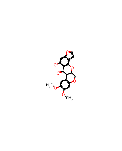 COc1cc2c(cc1OC)C1C(=O)c3c(O)cc4occc4c3OC1CO2